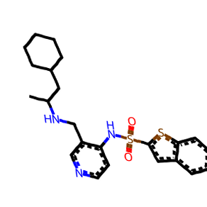 CC(CC1CCCCC1)NCc1cnccc1NS(=O)(=O)c1cc2ccccc2s1